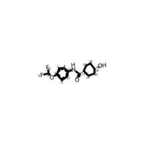 O=C(Nc1ccc(OC(F)F)cc1)[C@H]1CC[C@@H](O)CC1